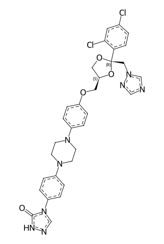 O=c1[nH]ncn1-c1ccc(N2CCN(c3ccc(OC[C@H]4CO[C@](Cn5cncn5)(c5ccc(Cl)cc5Cl)O4)cc3)CC2)cc1